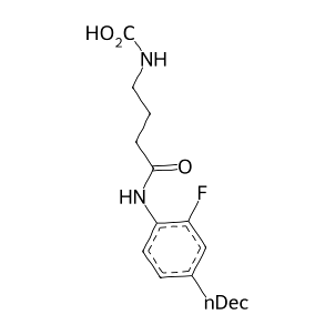 CCCCCCCCCCc1ccc(NC(=O)CCCNC(=O)O)c(F)c1